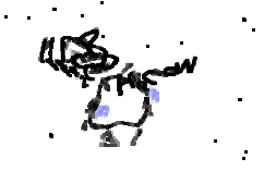 C1=C\CC/C=C\CC/1.C=O.C=O.C=O.C=O.[W]